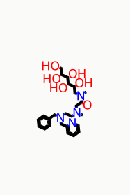 CN(CCN(Cc1ccccc1)Cc1ccccn1)CC(=O)N(C)C[C@@H](O)[C@H](O)[C@@H](O)[C@@H](O)CO